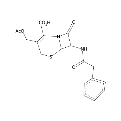 CC(=O)OCC1=C(C(=O)O)N2C(=O)C(NC(=O)Cc3ccccc3)C2SC1